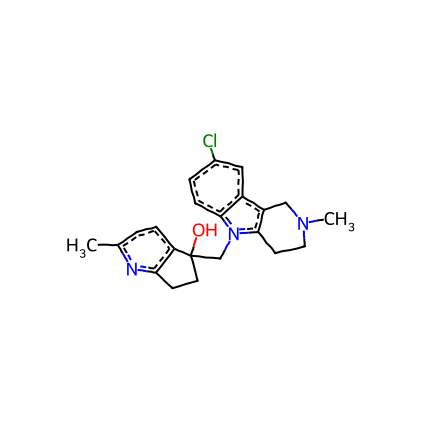 Cc1ccc2c(n1)CCC2(O)Cn1c2c(c3cc(Cl)ccc31)CN(C)CC2